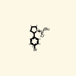 CC(C)(C)[S@+]([O-])N1CCCC1c1ccc(Br)cc1